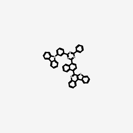 c1ccc(-c2nc(-c3cccc(-n4c5ccccc5c5ccccc54)c3)nc(-c3ccc(-c4nc5ccccc5c5c4sc4ccccc45)c4ccccc34)n2)cc1